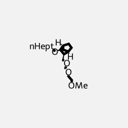 CCCCCCCO[C@H]1[C@H]2CC[C@H](C2)[C@H]1COCOCCOC